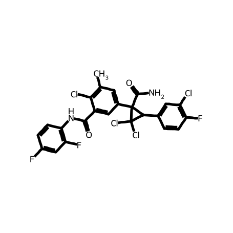 Cc1cc(C2(C(N)=O)C(c3ccc(F)c(Cl)c3)C2(Cl)Cl)cc(C(=O)Nc2ccc(F)cc2F)c1Cl